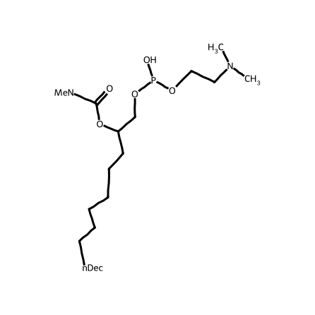 CCCCCCCCCCCCCCCCC(COP(O)OCCN(C)C)OC(=O)NC